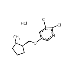 CN1CCC[C@@H]1COc1cnc(Cl)c(Cl)c1.Cl